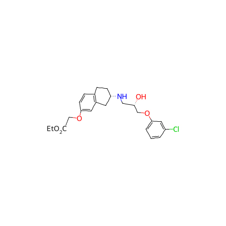 CCOC(=O)COc1ccc2c(c1)C[C@@H](NC[C@H](O)COc1cccc(Cl)c1)CC2